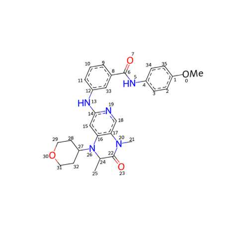 COc1ccc(NC(=O)c2cccc(Nc3cc4c(cn3)N(C)C(=O)C(C)N4C3CCOCC3)c2)cc1